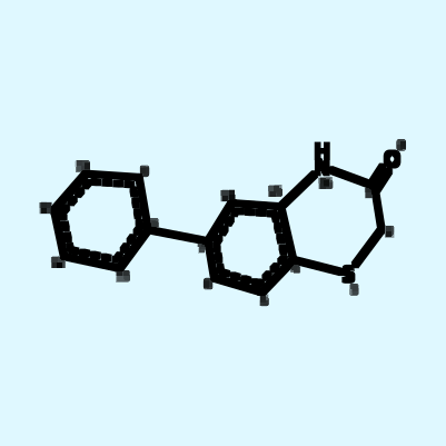 O=C1CSc2ccc(-c3ccccc3)cc2N1